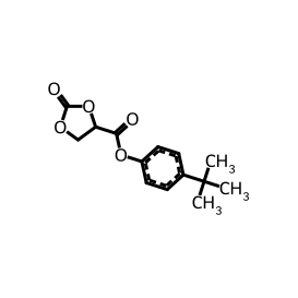 CC(C)(C)c1ccc(OC(=O)C2COC(=O)O2)cc1